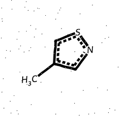 Cc1cnsc1